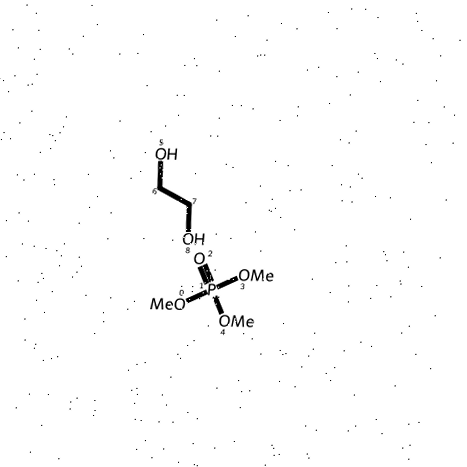 COP(=O)(OC)OC.OCCO